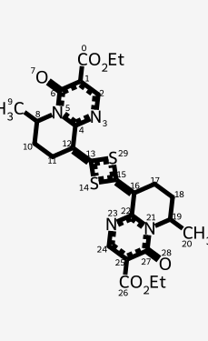 CCOC(=O)c1cnc2n(c1=O)C(C)CCC2=c1sc(=C2CCC(C)n3c2ncc(C(=O)OCC)c3=O)s1